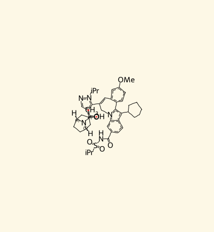 COc1ccc2c(c1)C=C(c1c(C(=O)N3[C@@H]4CC[C@H]3C[C@@](C)(O)C4)cnn1C(C)C)Cn1c-2c(C2CCCCC2)c2ccc(C(=O)NS(=O)(=O)C(C)C)cc21